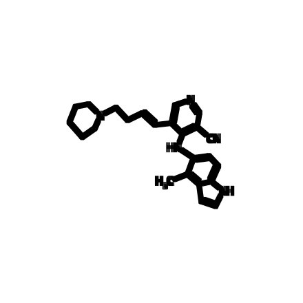 Cc1c(Nc2c(C#N)cncc2C=CCCN2CCCCC2)ccc2[nH]ccc12